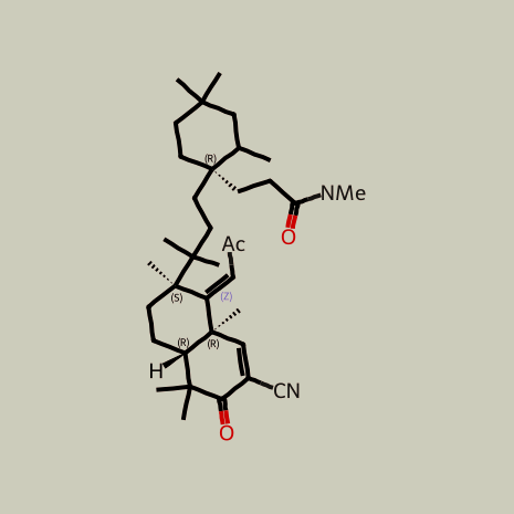 CNC(=O)CC[C@]1(CCC(C)(C)[C@]2(C)CC[C@H]3C(C)(C)C(=O)C(C#N)=C[C@]3(C)/C2=C/C(C)=O)CCC(C)(C)CC1C